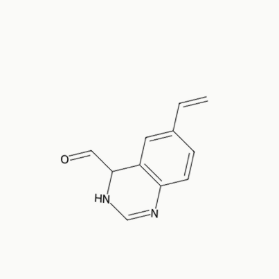 C=Cc1ccc2c(c1)C(C=O)NC=N2